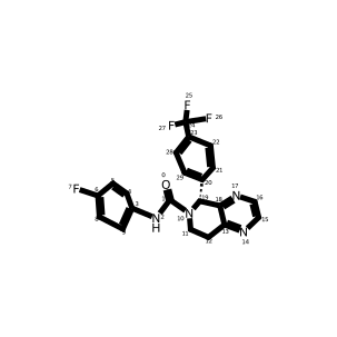 O=C(Nc1ccc(F)cc1)N1CCc2nccnc2[C@H]1c1ccc(C(F)(F)F)cc1